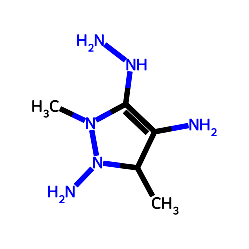 CC1C(N)=C(NN)N(C)N1N